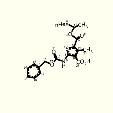 CCCCCCC(C)OC(=O)c1sc(NC(=O)OCc2ccccc2)c(C(=O)O)c1C